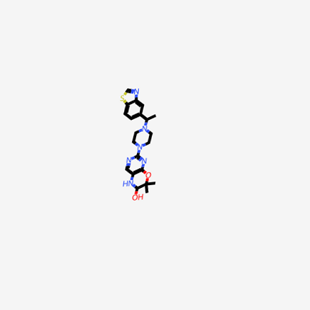 CC(c1ccc2scnc2c1)N1CCN(c2ncc3c(n2)OC(C)(C)C(O)N3)CC1